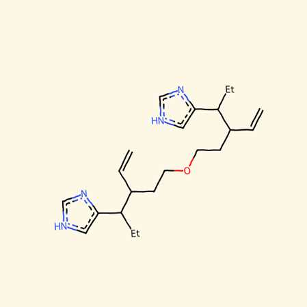 C=CC(CCOCCC(C=C)C(CC)c1c[nH]cn1)C(CC)c1c[nH]cn1